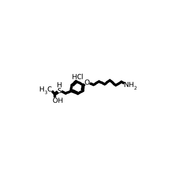 CC(O)=[SH]Cc1ccc(OCCCCCCN)cc1.Cl